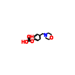 OB(O)Oc1ccc(CN2CCOCC2)cc1